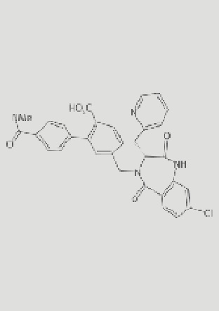 CNC(=O)c1ccc(-c2cc(CN3C(=O)c4ccc(Cl)cc4NC(=O)[C@H]3Cc3ccccn3)ccc2C(=O)O)cc1